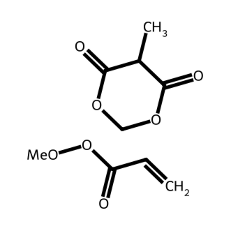 C=CC(=O)OOC.CC1C(=O)OCOC1=O